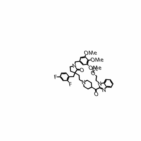 CCOCCn1c(C(=O)C2CCN(CCC3(Cc4ccc(F)cc4F)CCN(Cc4cc(OC)c(OC)c(OC)c4)C3=O)CC2)nc2ccccc21